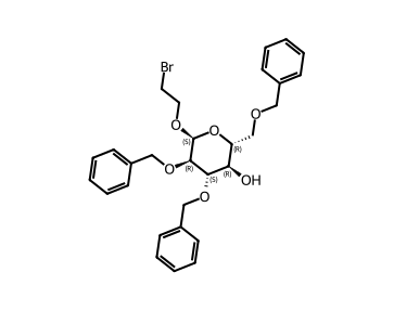 O[C@H]1[C@H](OCc2ccccc2)[C@@H](OCc2ccccc2)[C@@H](OCCBr)O[C@@H]1COCc1ccccc1